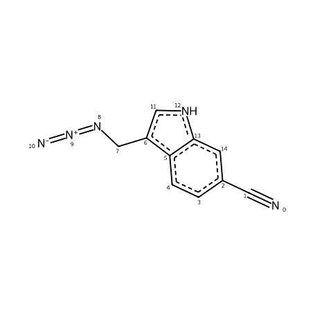 N#Cc1ccc2c(CN=[N+]=[N-])c[nH]c2c1